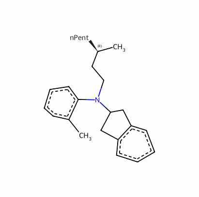 CCCCC[C@@H](C)CCN(c1ccccc1C)C1Cc2ccccc2C1